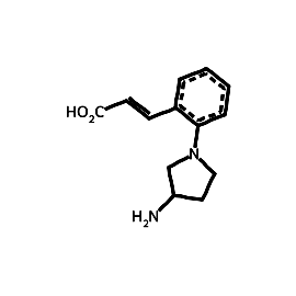 NC1CCN(c2ccccc2/C=C/C(=O)O)C1